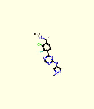 C[C@@H](NC(=O)O)c1ccc(-c2ncnc(Nc3cnn(C)c3)n2)c(F)c1Cl